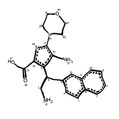 NCC(c1ccc2ccccc2c1)c1c(C(=O)O)sc(N2CCOCC2)c1N